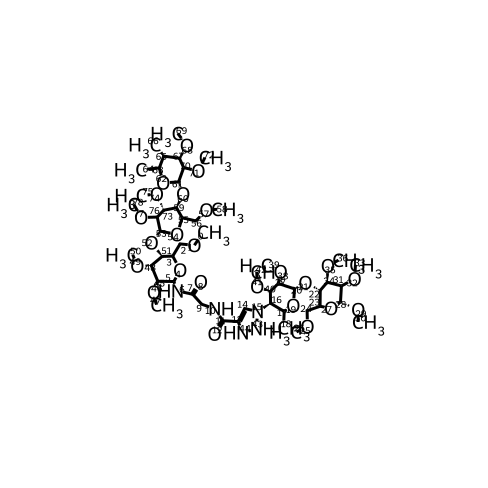 COCC1OC(NC(=O)CNC(=O)C2=CN([C@@H]3C(C)O[C@@H](O[C@H]4C(COC)O[C@@H](OC)C(OC)[C@@H]4OC)C(OC)[C@@H]3OC)NN2)C(OC)[C@H](OC)[C@H]1O[C@@H]1OC(COC)[C@H](O[C@@H]2OC(C)[C@@H](C)[C@@H](OC)C2OC)[C@@H](OC)C1OC